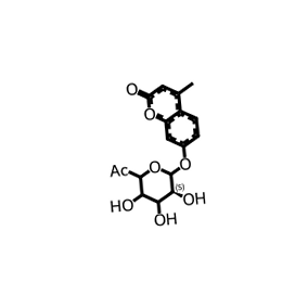 CC(=O)C1OC(Oc2ccc3c(C)cc(=O)oc3c2)[C@@H](O)C(O)C1O